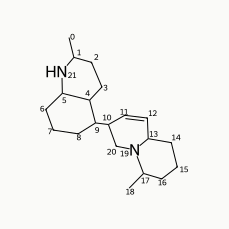 CC1CCC2C(CCCC2C2C=CC3CCCC(C)N3C2)N1